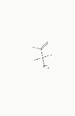 C=C(C)C(C)(C)P